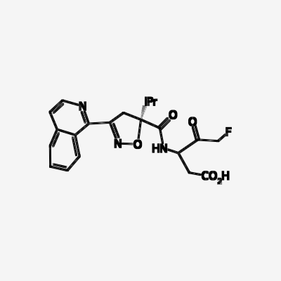 CC(C)[C@@]1(C(=O)NC(CC(=O)O)C(=O)CF)CC(c2nccc3ccccc23)=NO1